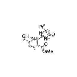 COC(=O)c1ccc(CO)nc1C1=NC(C)(C(C)C)C(=O)N1